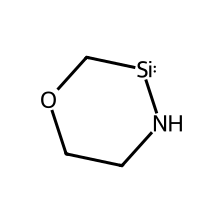 C1COC[Si]N1